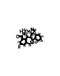 Cn1ncnc1C1c2n[nH]c(=O)c3cc(F)cc(c23)CNC1c1ccccc1